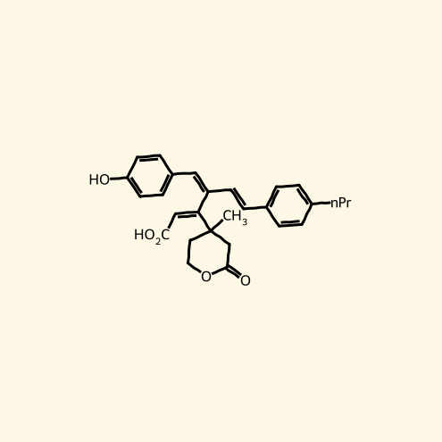 CCCc1ccc(C=CC(=Cc2ccc(O)cc2)C(=CC(=O)O)C2(C)CCOC(=O)C2)cc1